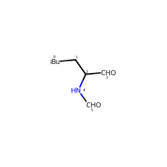 CCC(C)CC(C=O)NC=O